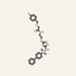 O=C(COCc1ccc(F)cc1)NCCSc1nnc(NS(=O)(=O)c2ccc(-c3ccccc3)cc2)s1